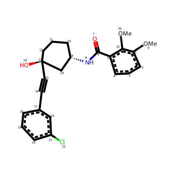 COc1cccc(C(=O)N[C@H]2CCC[C@@](O)(C#Cc3cccc(Cl)c3)C2)c1OC